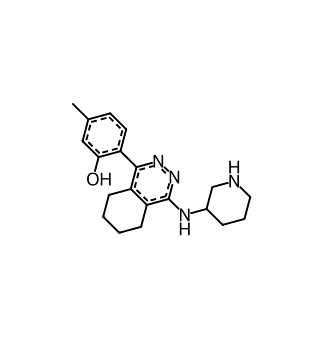 Cc1ccc(-c2nnc(NC3CCCNC3)c3c2CCCC3)c(O)c1